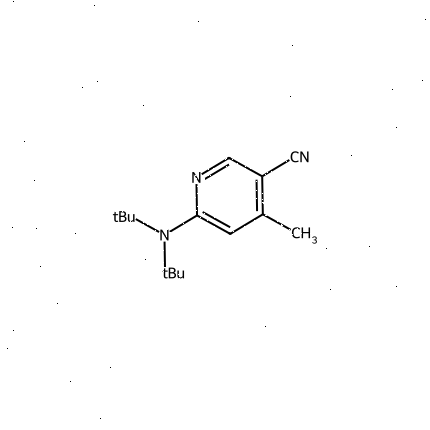 Cc1cc(N(C(C)(C)C)C(C)(C)C)ncc1C#N